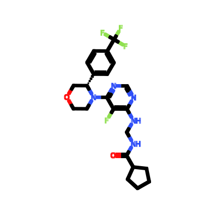 O=C(NCNc1ncnc(N2CCOC[C@@H]2c2ccc(C(F)(F)F)cc2)c1F)C1CCCC1